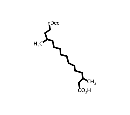 CCCCCCCCCCCCC(C)CCCCCCCCCC(C)CC(=O)O